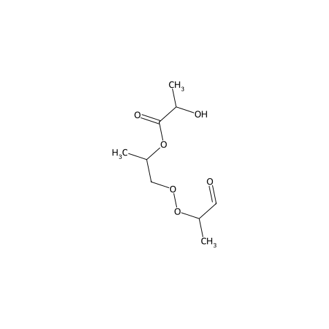 CC(C=O)OOCC(C)OC(=O)C(C)O